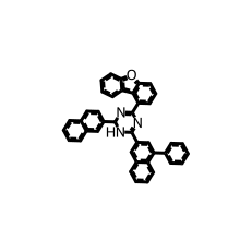 c1ccc(-c2cc(C3=NC(c4cccc5oc6ccccc6c45)=NC(c4ccc5ccccc5c4)N3)cc3ccccc23)cc1